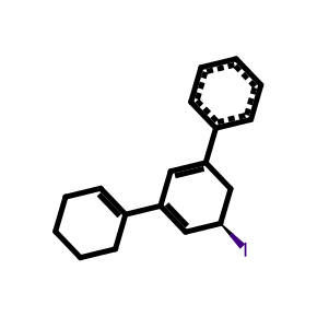 I[C@H]1C=C(C2=CCCCC2)C=C(c2ccccc2)C1